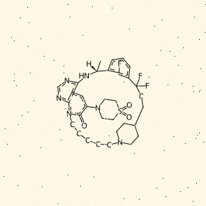 C[C@H]1Nc2ncnc3c2cc(N2CCS(=O)(=O)CC2)c(=O)n3CCCCCN2CCC(CC2)CCC(F)(F)c2cccc1c2F